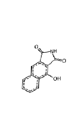 O=C1NC(=O)c2c1cc1ccccc1c2O